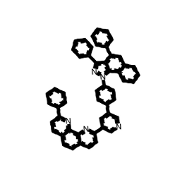 c1ccc(-c2ccc3ccc4ccc(-c5cncc(-c6ccc(-n7nc(-c8ccccc8)c8c(-c9ccccc9)cc9ccccc9c87)cc6)c5)nc4c3n2)cc1